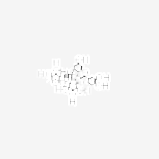 C[C@@H]1O[C@@H](OC[C@H]2OC(OC3=C(c4ccc(O)c(O)c4)Oc4cc(O)cc(O)c4C3O)[C@H](O)[C@@H](O)[C@@H]2O)[C@H](O)[C@H](O)[C@H]1O